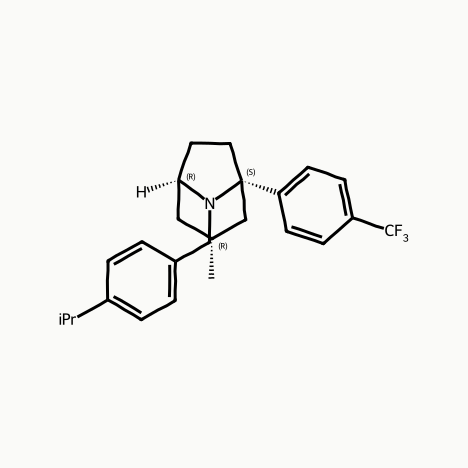 CC(C)c1ccc(CN2[C@@H]3CC[C@@]2(c2ccc(C(F)(F)F)cc2)C[C@H](C)C3)cc1